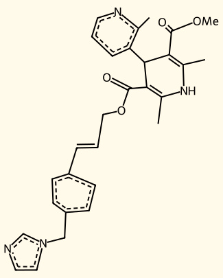 COC(=O)C1=C(C)NC(C)=C(C(=O)OCC=Cc2ccc(Cn3ccnc3)cc2)C1c1cccnc1C